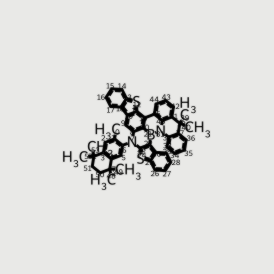 Cc1cc2c(cc1N1c3cc4c(sc5ccccc54)c4c3B(c3c1sc1ccccc31)N1c3ccccc3C(C)(C)c3cccc-4c31)C(C)(C)CCC2(C)C